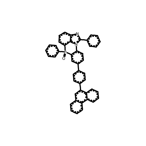 O=P1(c2ccccc2)c2cc(-c3ccc(-c4cc5ccccc5c5ccccc45)cc3)ccc2-n2c(-c3ccccc3)nc3cccc1c32